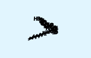 Br.CCCCCCCCCCCCCCOc1c(NC(=O)c2ccc(CN3CSC=C3C)cc2)cccc1OC